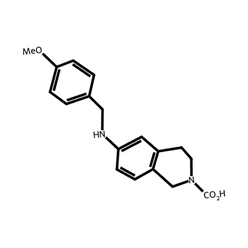 COc1ccc(CNc2ccc3c(c2)CCN(C(=O)O)C3)cc1